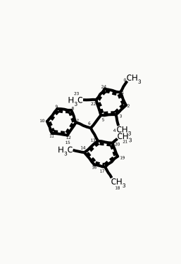 Cc1cc(C)c([C](c2ccccc2)c2c(C)cc(C)cc2C)c(C)c1